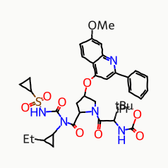 CCC1CC1N(C(=O)NS(=O)(=O)C1CC1)C(=O)C1CC(Oc2cc(-c3ccccc3)nc3cc(OC)ccc23)CN1C(=O)C(NC(=O)OC(C)(C)C)C(C)C